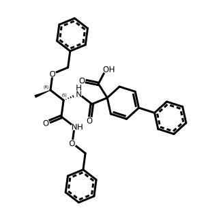 C[C@@H](OCc1ccccc1)[C@H](NC(=O)C1(C(=O)O)C=CC(c2ccccc2)=CC1)C(=O)NOCc1ccccc1